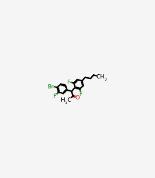 CCCCc1cc(F)c(C(C(C)=O)c2ccc(Br)c(F)c2)c(F)c1